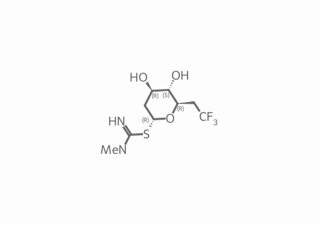 CNC(=N)S[C@@H]1C[C@@H](O)[C@H](O)[C@@H](CC(F)(F)F)O1